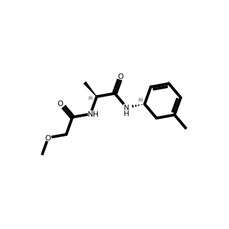 COCC(=O)N[C@@H](C)C(=O)N[C@@H]1C=[C]C=C(C)C1